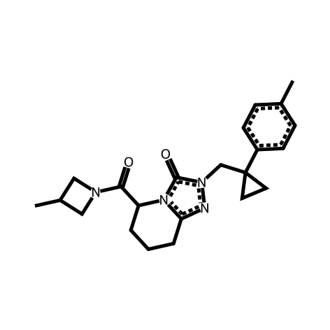 Cc1ccc(C2(Cn3nc4n(c3=O)C(C(=O)N3CC(C)C3)CCC4)CC2)cc1